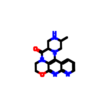 CC1CN2c3c4c(nc5ncccc35)OCCN4C(=O)C2CN1